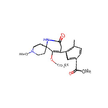 CCOC(=O)OC1=C(c2cc(C(=O)OC)ccc2C)C(=O)NC12CCN(OC)CC2